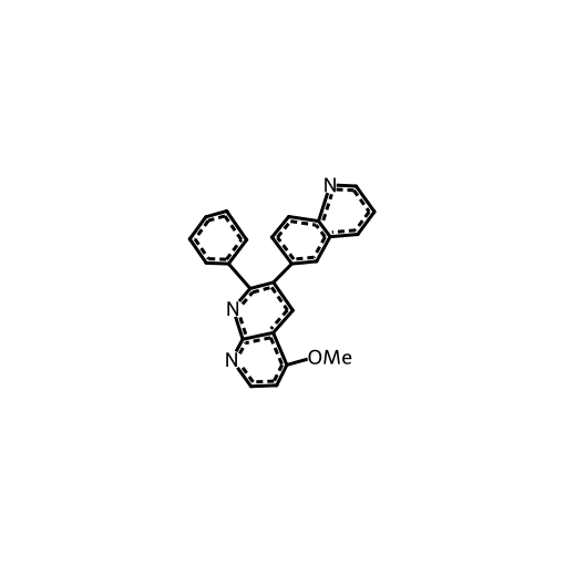 COc1ccnc2nc(-c3ccccc3)c(-c3ccc4ncccc4c3)cc12